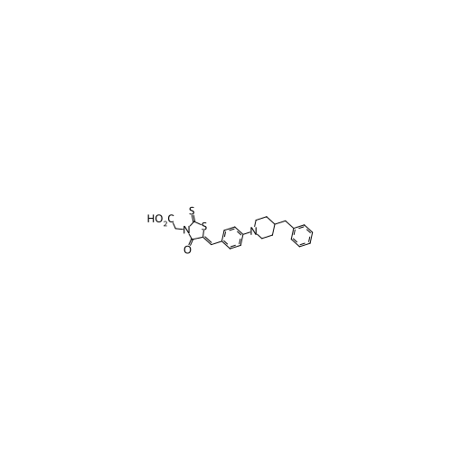 O=C(O)CN1C(=O)C(=Cc2ccc(N3CCC(Cc4ccccc4)CC3)cc2)SC1=S